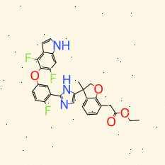 CCOC(=O)Cc1cccc2c1OCC2(C)c1cnc(-c2cc(Oc3c(F)cc4[nH]ccc4c3F)ccc2F)[nH]1